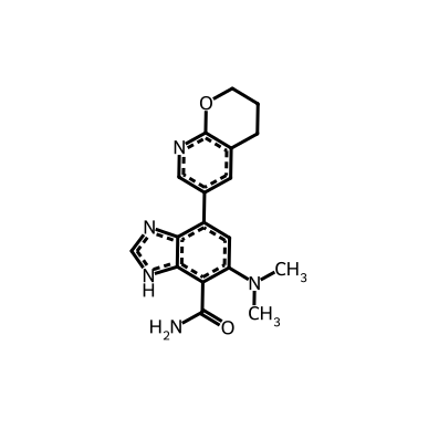 CN(C)c1cc(-c2cnc3c(c2)CCCO3)c2nc[nH]c2c1C(N)=O